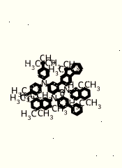 Cc1cc2c(cc1N1c3ccc(-c4ccccc4)cc3B3c4c(cc(N(c5ccc(C(C)(C)C)cc5)c5ccc(C(C)(C)C)cc5)cc41)-c1cc4c(cc1N3c1ccc3c(c1)C(C)(C)CCC3(C)C)-c1ccccc1C4(C)C)C(C)(C)CCC2(C)C